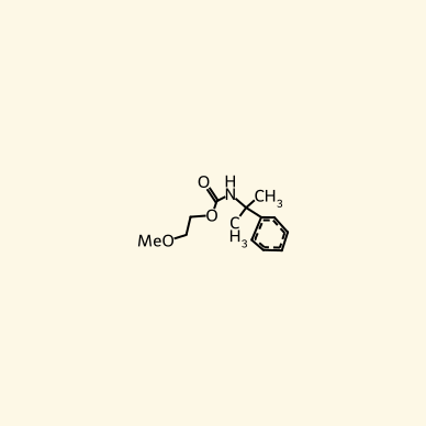 COCCOC(=O)NC(C)(C)c1ccccc1